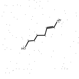 CCCC=CCCCCO